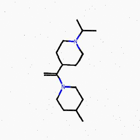 C=C(C1CCN(C(C)C)CC1)N1CCC(C)CC1